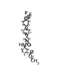 CCOC(=O)c1cccc(NC(=O)N2CC(N3CCN(c4ccc(OC(F)(F)F)cc4)CC3)C2)c1